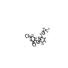 CC(C)(C)COCc1cccc(Oc2ccc(Cl)cc2Cl)n1